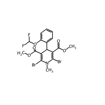 COC(=O)C1=C(Br)N(C)C(Br)=C(C(=O)OC)C1c1ccccc1OC(F)F